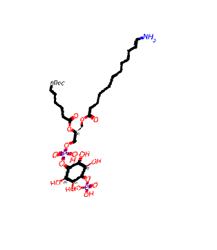 CCCCCCCCCCCCCCCC(=O)O[C@H](COC(=O)CCCCCCCCCCCN)COP(=O)(O)OC1C(O)[C@@H](O)C(OP(=O)(O)O)[C@@H](O)[C@H]1O